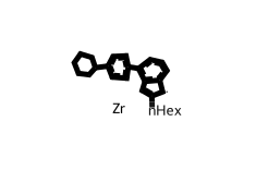 CCCCCCC1=Cc2c(cccc2-c2ccc(C3CCCCC3)cc2)[CH]1.[Zr]